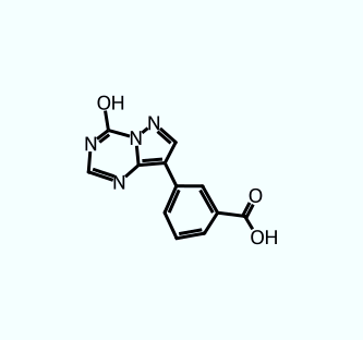 O=C(O)c1cccc(-c2cnn3c(O)ncnc23)c1